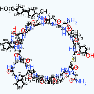 C=C(NC[C@@H]1NC(=O)[C@@H]2CCCN2C(=O)[C@H](CC(N)=O)NC(=O)[C@H](C)N(C)C(=O)[C@H](Cc2ccc(O)cc2)NC(=O)CSC[C@@H](C(=O)NCC(N)=O)NC(=O)[C@H](CC(C)C)NC(=O)[C@H](CCCC)N(C)C(=O)[C@H](CCCC)N(C)C(=O)[C@@H]2Cc3cn(c4ccccc34)CC(=O)NCC[C@H](NC(=O)[C@H](Cc3c[nH]c4ccccc34)NC(=O)[C@@H]3C[C@@H](O)CN3C(=O)[C@H](CC(C)C)NC1=O)C(=O)N2)c1ccc(-c2ccc(C(=O)O)cc2)cc1